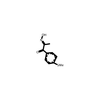 CSc1ccc(C(=O)/C(C)=N/O)cc1